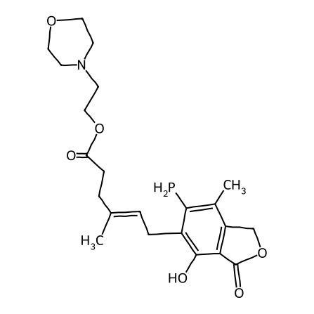 C/C(=C\Cc1c(O)c2c(c(C)c1P)COC2=O)CCC(=O)OCCN1CCOCC1